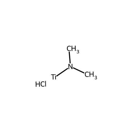 C[N](C)[Ti].Cl